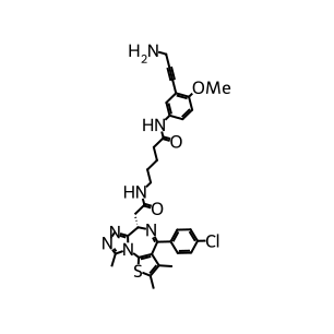 COc1ccc(NC(=O)CCCCNC(=O)C[C@@H]2N=C(c3ccc(Cl)cc3)c3c(sc(C)c3C)-n3c(C)nnc32)cc1C#CCN